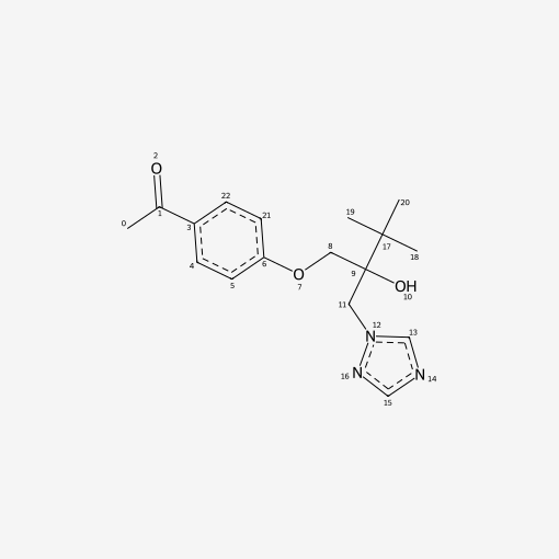 CC(=O)c1ccc(OCC(O)(Cn2cncn2)C(C)(C)C)cc1